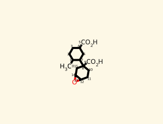 CC1CCC(C(=O)O)CC1C1(C(=O)O)CCC2OC2C1